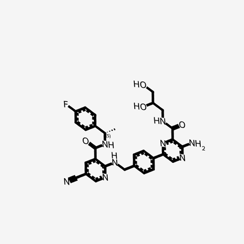 C[C@H](NC(=O)c1cc(C#N)cnc1NCc1ccc(-c2cnc(N)c(C(=O)NCC(O)CO)n2)cc1)c1ccc(F)cc1